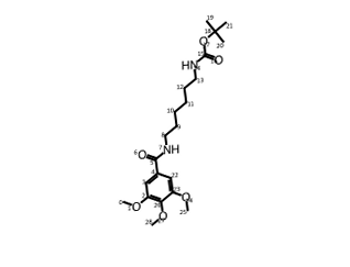 COc1cc(C(=O)NCCCCCCNC(=O)OC(C)(C)C)cc(OC)c1OC